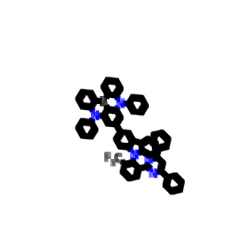 FC(F)(F)c1cccc(-c2nc(-c3ccccc3)cc(-c3ccccc3)n2)c1-n1c2ccccc2c2cc(-c3cc4c5c(c3)N(c3ccccc3)c3ccccc3B5c3ccccc3N4c3ccccc3)ccc21